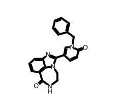 O=C1NCCn2c(-c3ccc(=O)n(Cc4ccccc4)c3)nc3cccc1c32